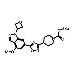 COc1cc(-c2nc(C3CCN(C(=O)OC(C)(C)C)CC3)no2)cc2c1cnn2C1COC1